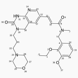 CCOc1c(CN(C)C(=O)C=Cc2cnc3c(c2)CN(CCCN2CCOCC2)C(=O)N3)cccc1OC